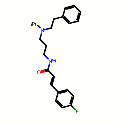 CC(C)N(CCCNC(=O)/C=C/c1ccc(F)cc1)CCc1ccccc1